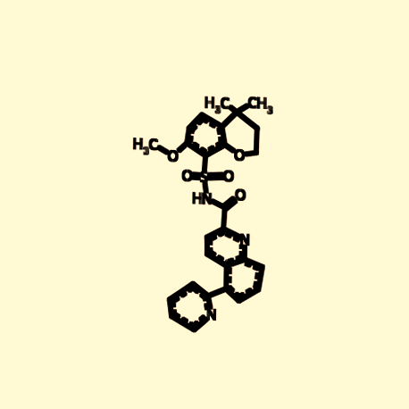 COc1ccc2c(c1S(=O)(=O)NC(=O)c1ccc3c(-c4ccccn4)cccc3n1)OCCC2(C)C